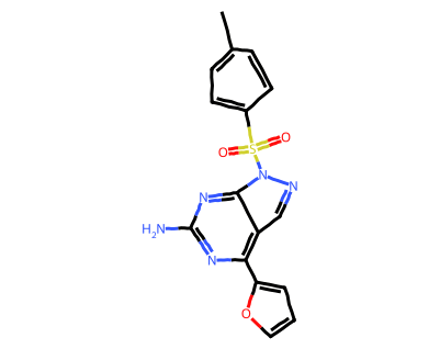 Cc1ccc(S(=O)(=O)n2ncc3c(-c4ccco4)nc(N)nc32)cc1